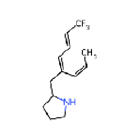 C\C=C/C(=C\C=C\C(F)(F)F)CC1CCCN1